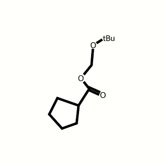 CC(C)(C)OCOC(=O)C1CCCC1